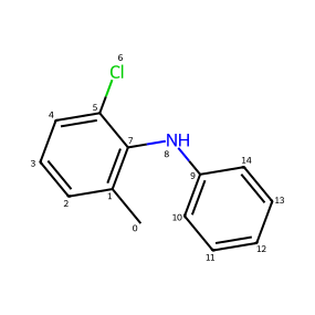 Cc1cccc(Cl)c1Nc1ccccc1